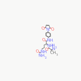 C[C@H](N)C(=O)N[C@@H](CCCNC(N)=O)C(=O)Nc1ccc(N2C(=O)C=CC2=O)cc1